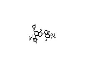 CCc1cc(OC(F)(F)F)c2nccc(N3CCc4c(cc(Cn5ccnc5)cc4-c4cn(C)nc4C(F)(F)F)C3=O)c2c1